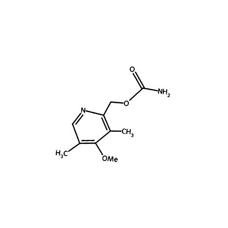 COc1c(C)cnc(COC(N)=O)c1C